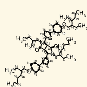 CCCCNC(CC)CN1C(=O)C2=C(c3ccc(-c4ccc(OCC(CC)C(N)CCC)cc4)s3)N(CC(N)CC)C(=O)C2=C1c1ccc(-c2ccc(OCC(CC)CCCC)cc2)s1